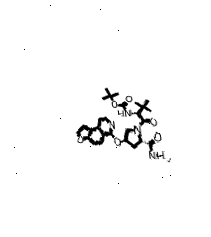 CC(C)(C)OC(=O)N[C@H](C(=O)N1C[C@H](Oc2nccc3c2ccc2occc23)C[C@H]1C(N)=O)C(C)(C)C